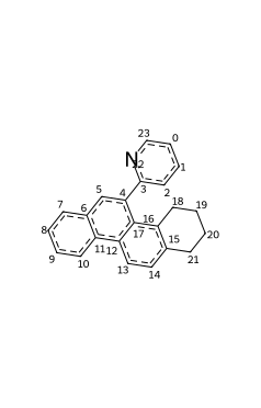 c1ccc(-c2cc3ccccc3c3ccc4c(c23)CCCC4)nc1